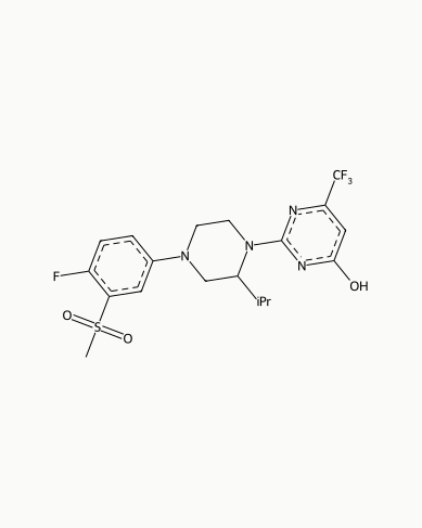 CC(C)C1CN(c2ccc(F)c(S(C)(=O)=O)c2)CCN1c1nc(O)cc(C(F)(F)F)n1